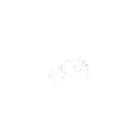 CCC[C@H]1CN(CC(=O)c2cc(C(C)(C)C)c(O)c(C(C)(C)C)c2)/C(=N\Br)[C@@H]1c1cccnc1